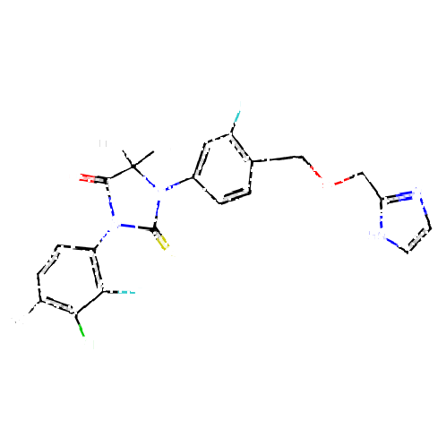 CC1(C)C(=O)N(c2ccc(C#N)c(Cl)c2F)C(=S)N1c1ccc(COCc2ncc[nH]2)c(F)c1